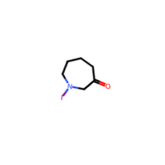 O=C1CCCCN(I)C1